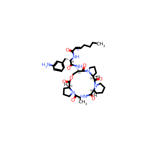 CCCC/C=C/C(=O)N[C@@H](Cc1cccc(N)c1)C(=O)N[C@H]1COC(=O)[C@@H]2CCCN2C(=O)[C@H](C)NC(=O)[C@@H]2CCCCN2C(=O)[C@@H]2CCCN2C1=O